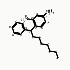 CCCCCCCC(c1ccccc1)c1ccc(N)cc1N